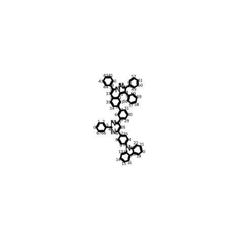 c1ccc(-c2nc(-c3ccc(-n4c5ccccc5c5ccccc54)cc3)cc(-c3cccc(-c4ccc5cc(-c6ccccc6)n6nc(-c7ccccc7)c(-c7ccccc7)c6c5c4)c3)n2)cc1